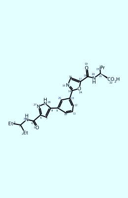 CCC(CC)NC(=O)c1cc(-c2cccc(-c3ncc(C(=O)N[C@H](C(=O)O)C(C)C)o3)c2)[nH]n1